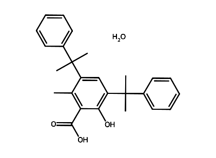 Cc1c(C(C)(C)c2ccccc2)cc(C(C)(C)c2ccccc2)c(O)c1C(=O)O.O